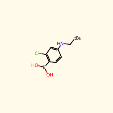 CC(C)(C)CNc1ccc(B(O)O)c(Cl)c1